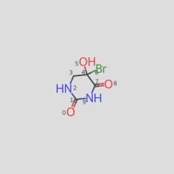 O=C1NCC(O)(Br)C(=O)N1